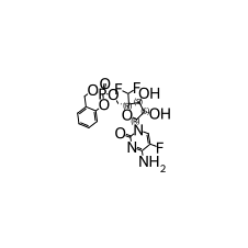 Nc1nc(=O)n([C@@H]2O[C@@](COP3(=O)OCc4ccccc4O3)(C(F)F)[C@@H](O)[C@@H]2O)cc1F